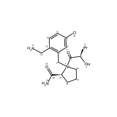 CC(C)[C@@H](O)C(=O)[N+]1(Cc2cc(Cl)ccc2CN)CCC[C@H]1C(N)=O